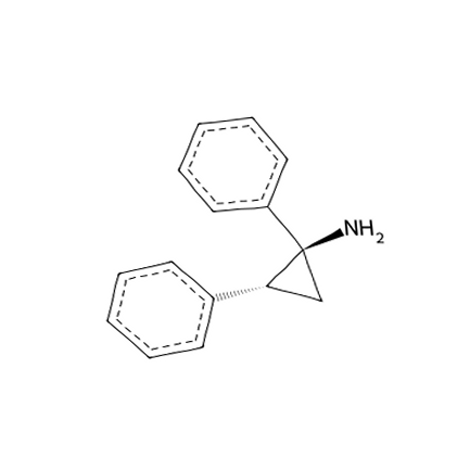 N[C@@]1(c2ccccc2)C[C@@H]1c1ccccc1